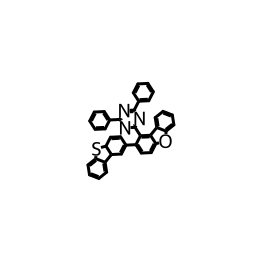 C1=CC2Sc3ccccc3C2C=C1c1ccc2oc3ccccc3c2c1-c1nc(-c2ccccc2)nc(-c2ccccc2)n1